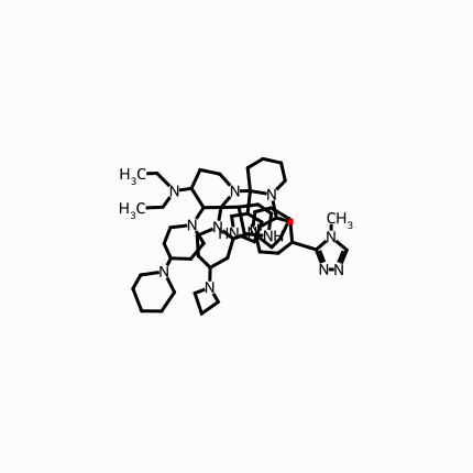 CCN(CC)C1CCN(C2(C3CCNC3)CCCCN2[C]2CC(c3nncn3C)CC[N]2)C(C2CCNC2)(N2CCC(N3CCC3)CC2N2CCCCC2)C1N1CCC(N2CCCCC2)CC1